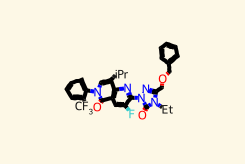 CCn1c(COCc2ccccc2)nn(-c2nc3c(C(C)C)cn(-c4ccccc4C(F)(F)F)c(=O)c3cc2F)c1=O